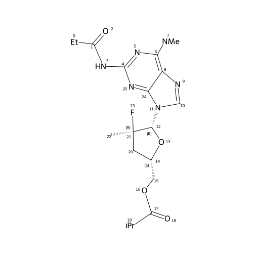 CCC(=O)Nc1nc(NC)c2ncn([C@@H]3O[C@H](COC(=O)C(C)C)C[C@@]3(C)F)c2n1